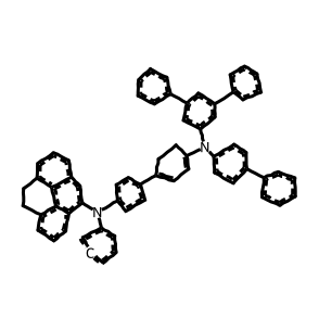 C1=C(c2ccc(N(c3ccccc3)c3cc4cccc5c4c4c(cccc34)CC5)cc2)CCC(N(c2ccc(-c3ccccc3)cc2)c2cc(-c3ccccc3)cc(-c3ccccc3)c2)=C1